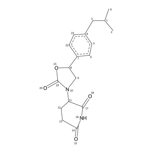 CC(C)Cc1ccc(C2CN(C3CCC(=O)NC3=O)C(=O)O2)cc1